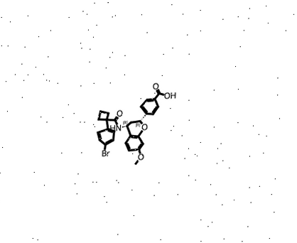 COc1ccc2c(c1)O[C@@H](c1ccc(C(=O)O)cc1)C[C@H]2NC(=O)C1(c2ccc(Br)cc2)CCC1